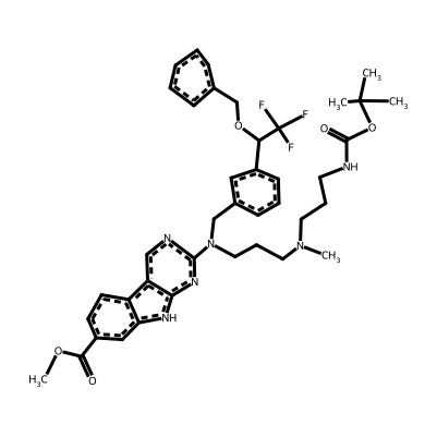 COC(=O)c1ccc2c(c1)[nH]c1nc(N(CCCN(C)CCCNC(=O)OC(C)(C)C)Cc3cccc(C(OCc4ccccc4)C(F)(F)F)c3)ncc12